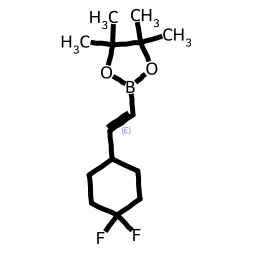 CC1(C)OB(/C=C/C2CCC(F)(F)CC2)OC1(C)C